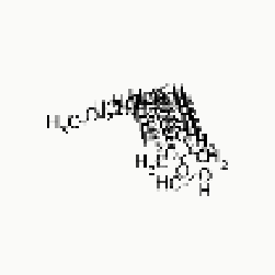 C=C.C=C.C=C.C=C.C=C.C=C.C=C.C=C.C=C.C=C(C)C(=O)OC.CCOCC.OCCO